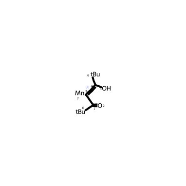 CC(C)(C)C(=O)/C=C(\O)C(C)(C)C.[Mn]